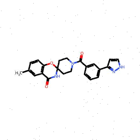 Cc1ccc2c(c1)C(=O)NC1(CCN(C(=O)c3cccc(-c4cc[nH]n4)c3)CC1)O2